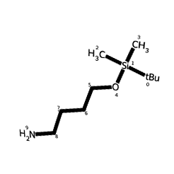 CC(C)(C)[Si](C)(C)OCC[CH]CN